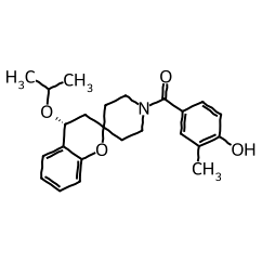 Cc1cc(C(=O)N2CCC3(CC2)C[C@@H](OC(C)C)c2ccccc2O3)ccc1O